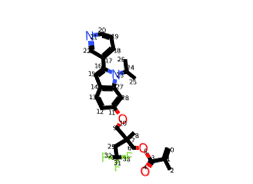 C=C(C)C(=O)OCC(C)(COc1ccc2cc(-c3cccnc3)n(C(C)C)c2c1)CC(F)(F)F